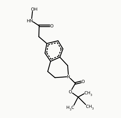 CC(C)(C)OC(=O)N1CCc2cc(CC(=O)NO)ccc2C1